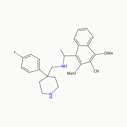 COc1c(C#N)c(OC)c2ccccc2c1C(C)NCC1(c2ccc(F)cc2)CCNCC1